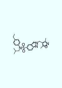 CCc1ccc(N(CC(C)C)S(=O)(=O)c2ccc3nn(Cc4c(C)noc4C)cc3c2)cc1